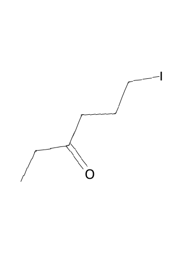 CCC(=O)CCCI